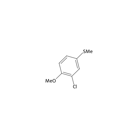 COc1ccc(SC)cc1Cl